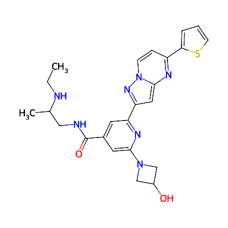 CCNC(C)CNC(=O)c1cc(-c2cc3nc(-c4cccs4)ccn3n2)nc(N2CC(O)C2)c1